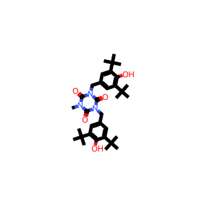 Cn1c(=O)n(Cc2cc(C(C)(C)C)c(O)c(C(C)(C)C)c2)c(=O)n(Cc2cc(C(C)(C)C)c(O)c(C(C)(C)C)c2)c1=O